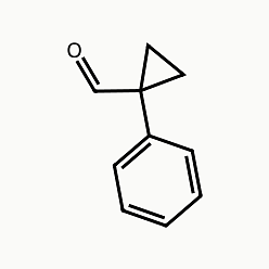 O=CC1(c2ccccc2)CC1